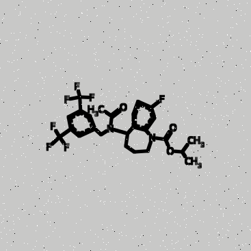 CC(=O)N(Cc1cc(C(F)(F)F)cc(C(F)(F)F)c1)C1CCCN(C(=O)OC(C)C)c2cc(F)ccc21